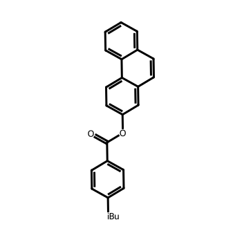 CCC(C)c1ccc(C(=O)Oc2ccc3c(ccc4ccccc43)c2)cc1